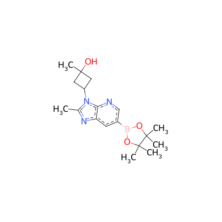 Cc1nc2cc(B3OC(C)(C)C(C)(C)O3)cnc2n1C1CC(C)(O)C1